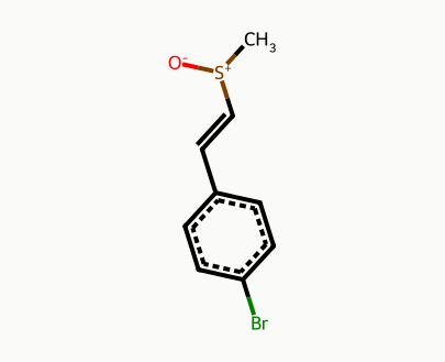 C[S+]([O-])C=Cc1ccc(Br)cc1